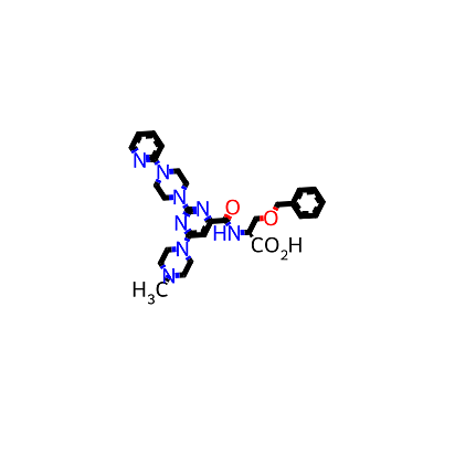 CN1CCN(c2cc(C(=O)N[C@@H](COCc3ccccc3)C(=O)O)nc(N3CCN(c4ccccn4)CC3)n2)CC1